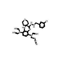 [N-]=[N+]=NCN(C=N)c1ccc(N(C=N)C=N)c2c1N=C(NNCc1cccc(Cl)c1)C1(CCOCC1)N2